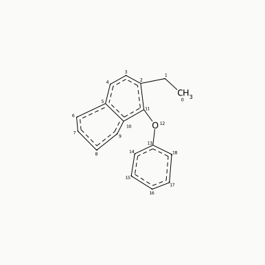 CCc1ccc2ccccc2c1Oc1ccccc1